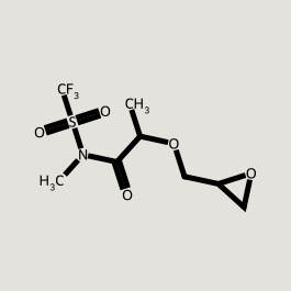 CC(OCC1CO1)C(=O)N(C)S(=O)(=O)C(F)(F)F